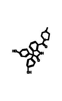 CN1CCN(C(=O)c2cccc3c2NC(=O)C3(c2ccc(O)cc2)c2ccc(O)cc2)CC1